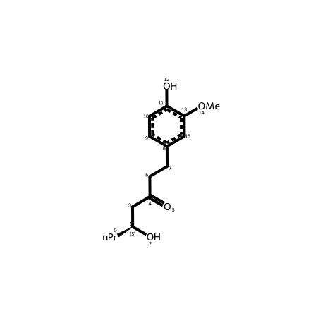 CCC[C@H](O)CC(=O)CCc1ccc(O)c(OC)c1